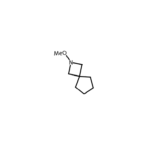 CON1CC2(CCCC2)C1